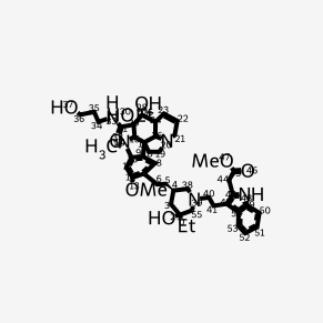 CCC1(O)C[C@@H](CCc2cc3c(cc2OC)N(C)C2C34CCN3CC=CC(CC)(C34)[C@@H](O)[C@]2(O)C(=O)NCCCO)CN(CCc2c(CC(=O)OC)[nH]c3ccccc23)C1